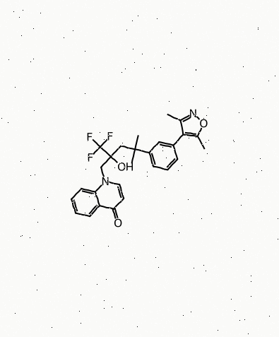 Cc1noc(C)c1-c1cccc(C(C)(C)CC(O)(Cn2ccc(=O)c3ccccc32)C(F)(F)F)c1